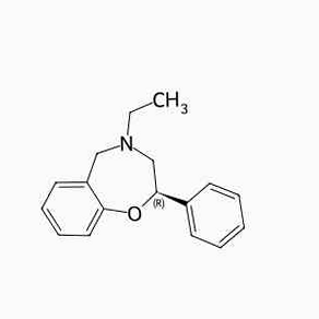 CCN1Cc2ccccc2O[C@H](c2ccccc2)C1